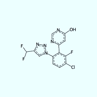 Oc1cc(-c2c(-n3cc(C(F)F)nn3)ccc(Cl)c2F)ncn1